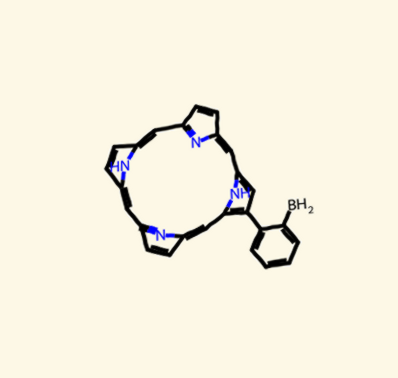 Bc1ccccc1-c1cc2cc3nc(cc4ccc(cc5nc(cc1[nH]2)C=C5)[nH]4)C=C3